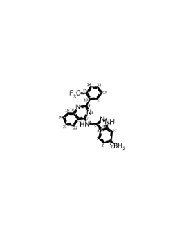 Bc1ccc2c(Nc3nc(-c4ccccc4C(F)(F)F)nc4ccccc34)n[nH]c2c1